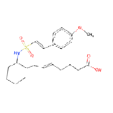 COc1ccc(C=CS(=O)(=O)NC2CCCCC2CC=CCCCC(=O)O)cc1